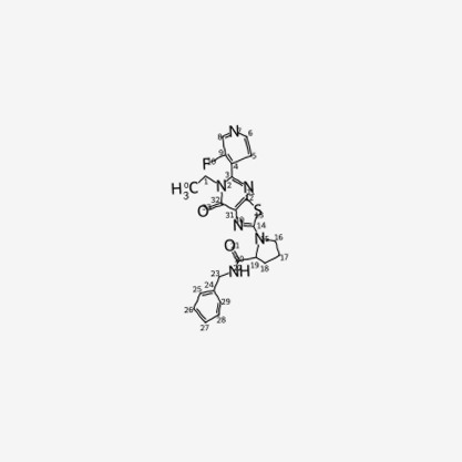 CCn1c(-c2ccncc2F)nc2sc(N3CCCC3C(=O)NCc3ccccc3)nc2c1=O